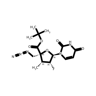 C[C@H]1[C@@H](F)[C@H](n2ccc(=O)[nH]c2=O)O[C@]1(CN=[N+]=[N-])C(=O)OC(C)(C)C